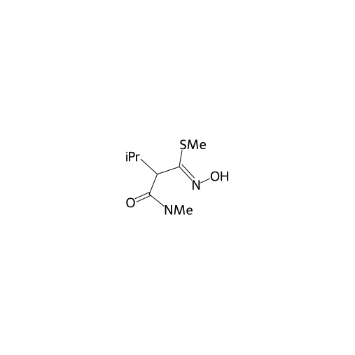 CNC(=O)C(C(=NO)SC)C(C)C